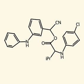 CC(C)C(Nc1ccc(Cl)cc1)C(=O)OC(C#N)c1cccc(Nc2ccccc2)c1